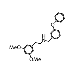 COc1cc(CCNCc2cccc(Oc3ccccc3)c2)cc(OC)c1